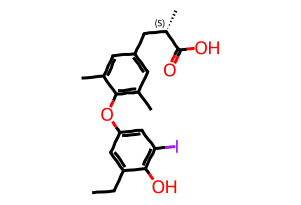 CCc1cc(Oc2c(C)cc(C[C@H](C)C(=O)O)cc2C)cc(I)c1O